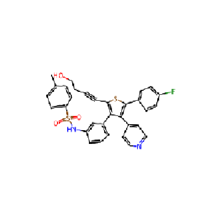 Cc1ccc(S(=O)(=O)Nc2cccc(-c3c(C#CCCO)sc(-c4ccc(F)cc4)c3-c3ccncc3)c2)cc1